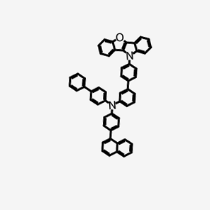 c1ccc(-c2ccc(N(c3ccc(-c4cccc5ccccc45)cc3)c3cccc(-c4ccc(-n5c6ccccc6c6oc7ccccc7c65)cc4)c3)cc2)cc1